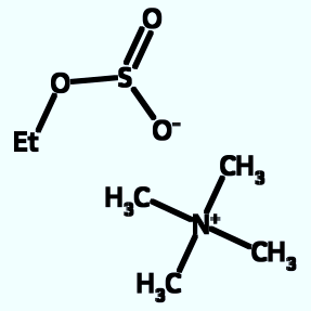 CCOS(=O)[O-].C[N+](C)(C)C